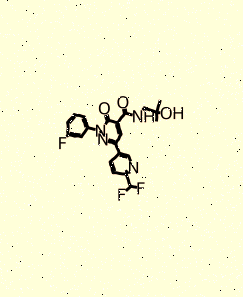 CC(C)(O)CNC(=O)c1cc(-c2ccc(C(F)F)nc2)nn(-c2cccc(F)c2)c1=O